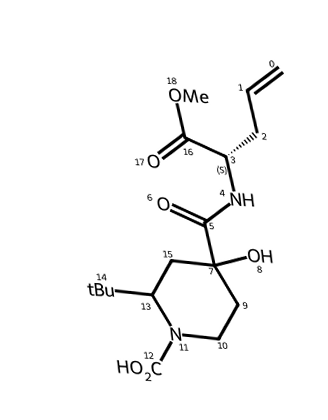 C=CC[C@H](NC(=O)C1(O)CCN(C(=O)O)C(C(C)(C)C)C1)C(=O)OC